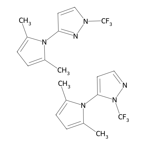 Cc1ccc(C)n1-c1ccn(C(F)(F)F)n1.Cc1ccc(C)n1-c1ccnn1C(F)(F)F